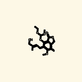 CCOC(OC)Oc1c(C/C=C(\C)CO)c(OC)c(C)c2c1C(=O)OC2